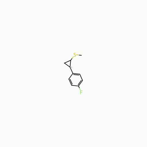 CSC1C[C]1c1ccc(F)cc1